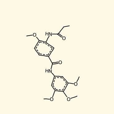 CCC(=O)Nc1cc(C(=O)Nc2cc(OC)c(OC)c(OC)c2)ccc1OC